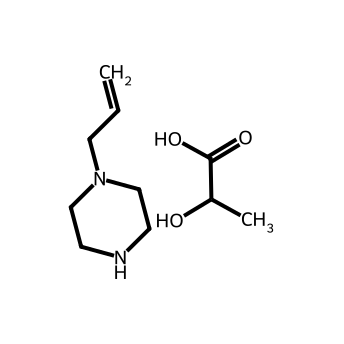 C=CCN1CCNCC1.CC(O)C(=O)O